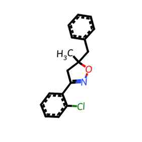 CC1(Cc2ccccc2)CC(c2ccccc2Cl)=NO1